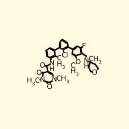 COc1cc(-c2cccc(-c3cccc(NC(=O)C4=CN(C)C5OC5N(C)C4=O)c3C)c2Cl)cc(F)c1CNC1(C)CCOCC1